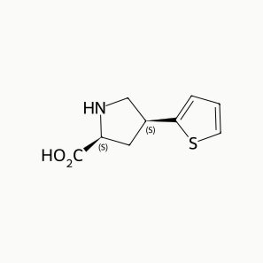 O=C(O)[C@@H]1C[C@H](c2cccs2)CN1